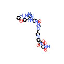 Nc1ncnc2c1c(-c1ccc(Oc3ccccc3)cc1)nn2C1CCN(C(=O)N2CCN(CCC3CCN(c4ccc5c(c4)C(=O)N(C4CCC(=O)NC4=O)C5=O)CC3)CC2)CC1